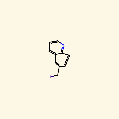 ICc1ccc2ncccc2c1